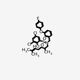 CC(C)=CCCC(C)CN(Cc1cccc(Oc2ccc(F)cc2)c1)S(=O)(=O)c1cc(Cl)cc(Cl)c1O